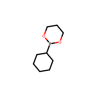 C1CCC(B2OCCCO2)CC1